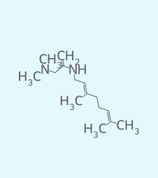 C=C(CN(C)C)NC/C=C(\C)CCC=C(C)C